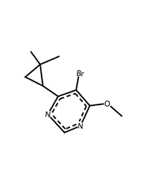 COc1ncnc(C2CC2(C)C)c1Br